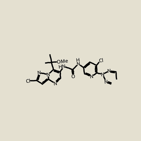 C=NN(/N=C\C)c1ncc(NC(=O)Nc2cnc3cc(Cl)nn3c2C(C)(C)OC)cc1Cl